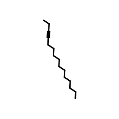 CCC#CCCCCCCCCCCC